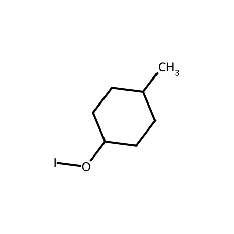 CC1CCC(OI)CC1